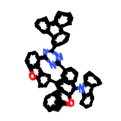 c1ccc(-c2nc(-c3ccc4c5ccccc5c5ccccc5c4c3)nc(-c3cccc4oc5ccc(-c6ccc(-n7c8ccccc8c8ccccc87)c7oc8ccccc8c67)cc5c34)n2)cc1